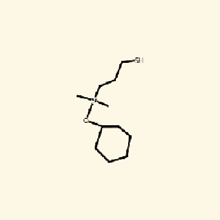 C[Si](C)(CCCS)OC1CCCCC1